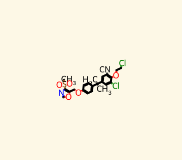 CC(C)(c1ccc(OCc2ocnc2S(C)(=O)=O)cc1)c1cc(Cl)c(OCCCl)c(C#N)c1